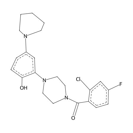 O=C(c1ccc(F)cc1Cl)N1CCN(c2cc(N3CCCCC3)ccc2O)CC1